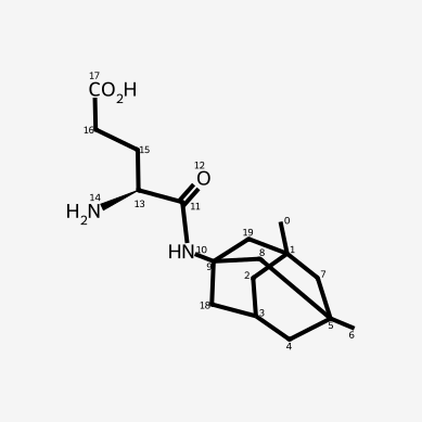 CC12CC3CC(C)(C1)CC(NC(=O)[C@@H](N)CCC(=O)O)(C3)C2